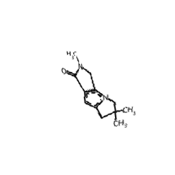 CN1Cc2c(cc3n2CC(C)(C)C3)C1=O